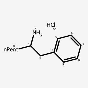 CCCCCC(N)Cc1ccccc1.Cl